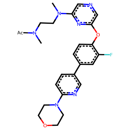 CC(=O)N(C)CCN(C)c1cncc(Oc2ccc(-c3ccc(N4CCOCC4)nc3)cc2F)n1